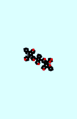 c1ccc(-n2c3ccc(-c4c5ccccc5c(-c5ccc6c(c5)c5c7ccccc7c7c8ccccc8sc7c5n6-c5ccccc5)c5ccccc45)cc3c3c4ccccc4c4c5ccccc5sc4c32)cc1